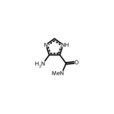 CNC(=O)c1[nH]cnc1N